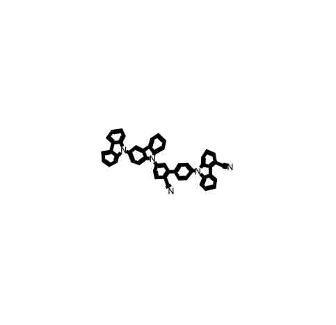 N#Cc1ccc(-n2c3ccccc3c3cc(-n4c5ccccc5c5ccccc54)ccc32)cc1-c1ccc(-n2c3ccccc3c3c(C#N)cccc32)cc1